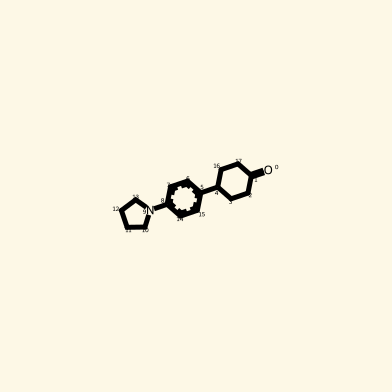 O=C1CCC(c2ccc(N3CCCC3)cc2)CC1